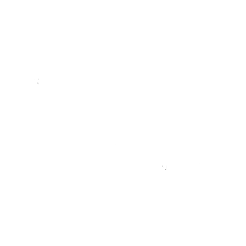 C1=CC(n2c3ccccc3c3cc(-c4ccc(-c5ccc(-c6ccc7c(c6)c6ccccc6n7-c6ccc7c8ccccc8c8ccccc8c7c6)cc5)cc4)ccc32)=CCC1